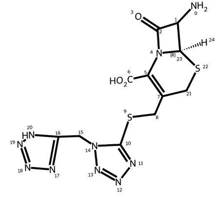 NC1C(=O)N2C(C(=O)O)=C(CSc3nnnn3Cc3nnn[nH]3)CS[C@H]12